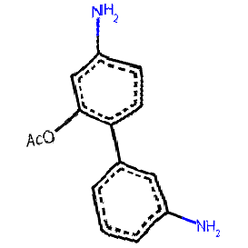 CC(=O)Oc1cc(N)ccc1-c1cccc(N)c1